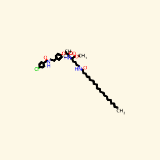 CCC=CCC=CCC=CCC=CCC=CCC=CCCC(=O)NCCCCC(NC(=O)C(C)(C)Oc1ccc(CCNC(=O)c2ccc(Cl)cc2)cc1)C(=O)OC